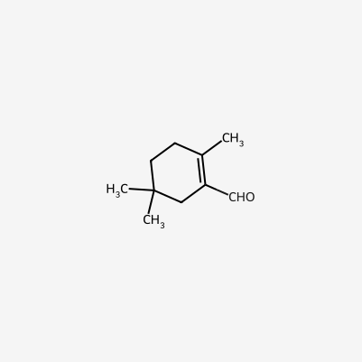 CC1=C(C=O)CC(C)(C)CC1